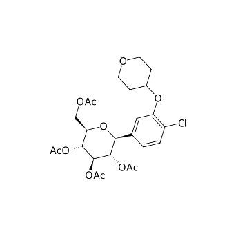 CC(=O)OC[C@H]1O[C@@H](c2ccc(Cl)c(OC3CCOCC3)c2)[C@H](OC(C)=O)[C@@H](OC(C)=O)[C@@H]1OC(C)=O